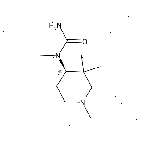 CN1CC[C@@H](N(C)C(N)=O)C(C)(C)C1